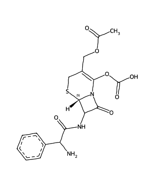 CC(=O)OCC1=C(OC(=O)O)N2C(=O)C(NC(=O)C(N)c3ccccc3)[C@@H]2SC1